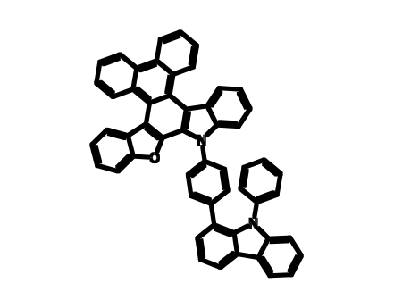 c1ccc(-n2c3ccccc3c3cccc(-c4ccc(-n5c6ccccc6c6c7c8ccccc8c8ccccc8c7c7c8ccccc8oc7c65)cc4)c32)cc1